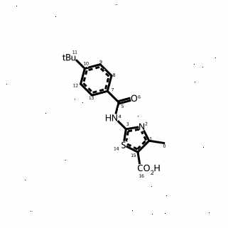 Cc1nc(NC(=O)c2ccc(C(C)(C)C)cc2)sc1C(=O)O